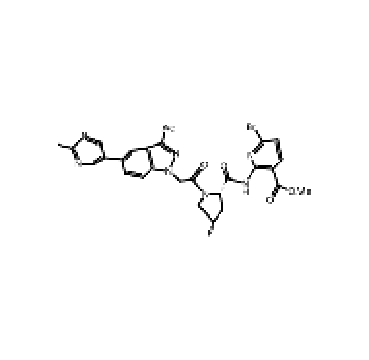 COC(=O)c1ccc(Br)nc1NC(=O)[C@@H]1C[C@@H](F)CN1C(=O)Cn1nc(C(C)=O)c2cc(-c3cnc(C)nc3)ccc21